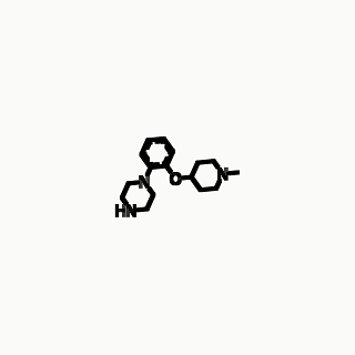 CN1CCC(Oc2ccccc2N2CCNCC2)CC1